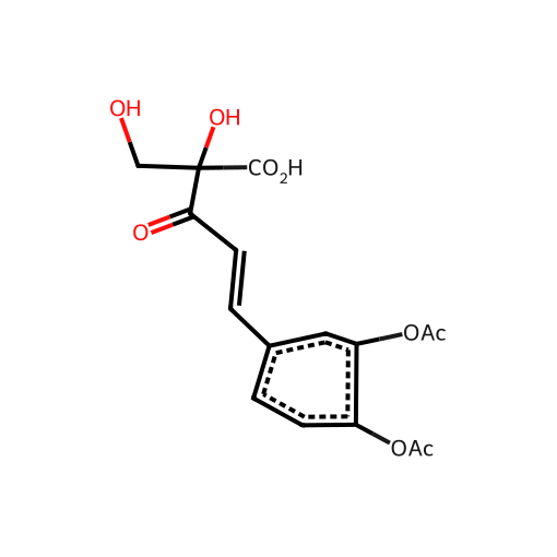 CC(=O)Oc1ccc(C=CC(=O)C(O)(CO)C(=O)O)cc1OC(C)=O